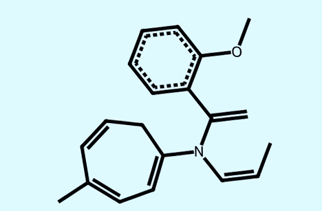 C=C(c1ccccc1OC)N(/C=C\C)C1=CC=C(C)C=CC1